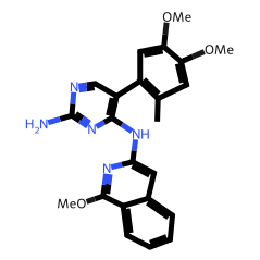 COc1cc(C)c(-c2cnc(N)nc2Nc2cc3ccccc3c(OC)n2)cc1OC